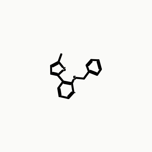 Cc1ccc(-c2ccc[c]c2SCc2ccccc2)s1